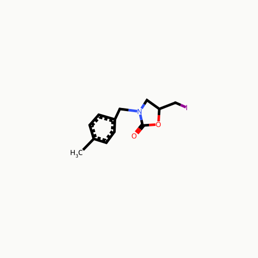 Cc1ccc(CN2CC(CI)OC2=O)cc1